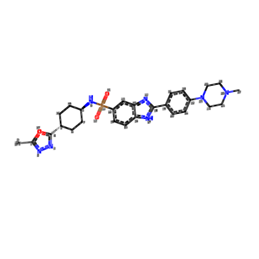 CC(C)c1nnc([C@H]2CC[C@H](NS(=O)(=O)c3ccc4[nH]c(-c5ccc(N6CCN(C)CC6)cc5)nc4c3)CC2)o1